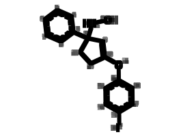 ONC1(c2ccccc2)C=C(Oc2ccc(F)cc2)CC1